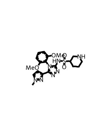 COc1cccc(OC)c1-n1c(NS(=O)(=O)C2CCCNC2)nnc1-c1ccn(C)n1